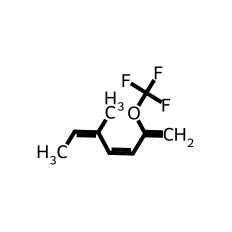 C=C(/C=C\C(C)=C/C)OC(F)(F)F